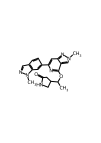 CC(Oc1nc(-c2ccc3cnn(C)c3c2)cc2nn(C)cc12)C1CNC(=O)C1